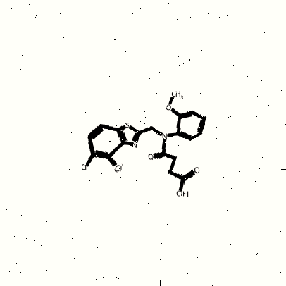 COc1ccccc1N(Cc1nc2c(Cl)c(Cl)ccc2s1)C(=O)CCC(=O)O